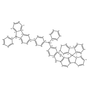 C1=CC2c3ccc4c(c3C3(C5=CCCC=C5c5ccccc53)C2C=C1)Oc1cc(N(c2ccccc2)c2ccc(-c3ccc5c(c3)c3ccccc3n5-c3ccccc3)cc2)ccc1O4